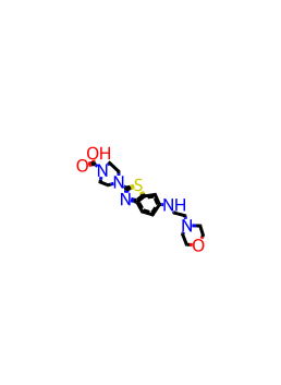 O=C(O)N1CCN(c2nc3ccc(NCCN4CCOCC4)cc3s2)CC1